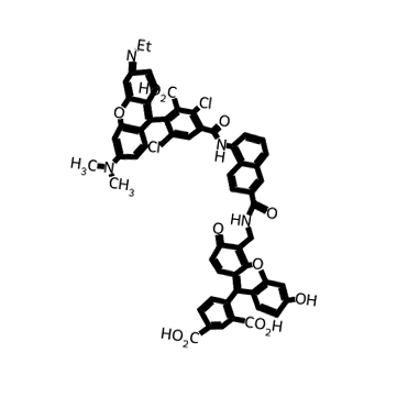 CC/N=c1\ccc2c(-c3c(Cl)cc(C(=O)Nc4cccc5cc(C(=O)NCc6c7oc8cc(O)ccc8c(-c8ccc(C(=O)O)cc8C(=O)O)c-7ccc6=O)ccc45)c(Cl)c3C(=O)O)c3ccc(N(C)C)cc3oc-2c1